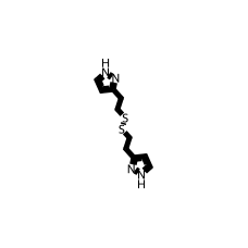 c1cc(CCSSCCc2cc[nH]n2)n[nH]1